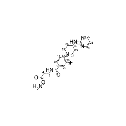 NOC(=O)CCNC(=O)c1ccc(N2CCC(Nc3ncccn3)CC2)c(F)c1